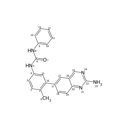 Cc1ccc(NC(=O)Nc2ccccc2)cc1-c1ccc2nc(N)ncc2c1